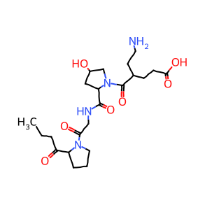 CCCC(=O)C1CCCN1C(=O)CNC(=O)C1CC(O)CN1C(=O)C(CCN)CCC(=O)O